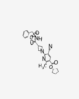 Cc1nc(N2CC(C(=O)NS(=O)(=O)Cc3ccccc3)C2)c(C#N)cc1C(=O)OC1CCCC1